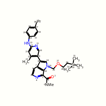 CNC(=O)c1nccc2c(-c3cnc(Nc4ccc(C(C)C)cc4)cc3C)cn(COCC[Si](C)(C)C)c12